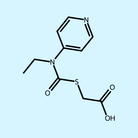 CCN(C(=O)SCC(=O)O)c1ccncc1